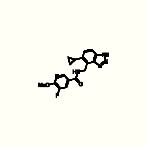 COc1ncc(C(=O)NCc2c(C3CC3)ccc3[nH]nnc23)cc1F